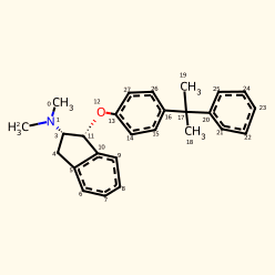 CN(C)[C@H]1Cc2ccccc2[C@H]1Oc1ccc(C(C)(C)c2ccccc2)cc1